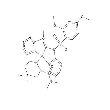 COc1ccc(S(=O)(=O)N2C(=O)[C@](c3cccnc3OC)(N3CCC(F)(F)CC3C(=O)N(C)C)c3cc(Cl)ccc32)c(OC)c1